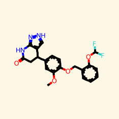 COc1cc(C2CC(=O)Nc3n[nH]cc32)ccc1OCc1ccccc1OC(F)F